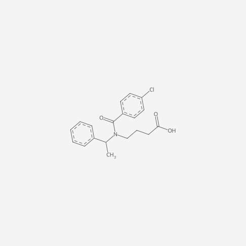 CC(c1ccccc1)N(CCCC(=O)O)C(=O)c1ccc(Cl)cc1